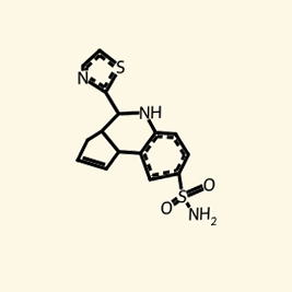 NS(=O)(=O)c1ccc2c(c1)C1C=CCC1C(c1nccs1)N2